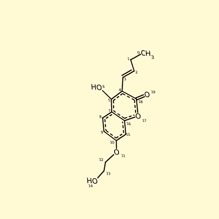 CCC=Cc1c(O)c2ccc(OCCO)cc2oc1=O